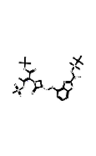 C/C(OS(C)(=O)=O)=C(\C(=O)OC(C)(C)C)N1C[C@H](SSc2cccc3sc([C@@H](C)O[Si](C)(C)C(C)(C)C)nc23)C1=O